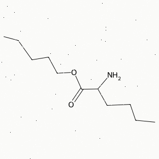 CCCCCOC(=O)C(N)CCCC